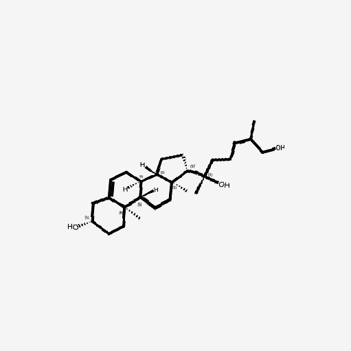 CC(CO)CCC[C@](C)(O)[C@H]1CC[C@H]2[C@@H]3CC=C4C[C@@H](O)CC[C@]4(C)[C@H]3CC[C@@]21C